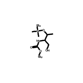 CC(O[Si](C)(C)C(C)(C)C)C(CO)NC(=O)OC(C)(C)C